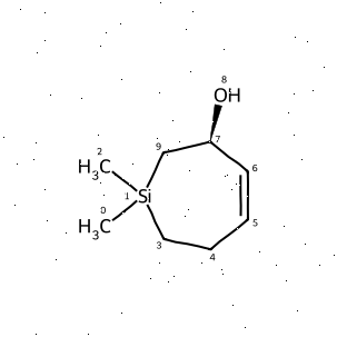 C[Si]1(C)CCC=C[C@H](O)C1